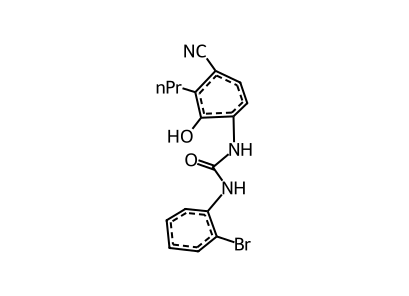 CCCc1c(C#N)ccc(NC(=O)Nc2ccccc2Br)c1O